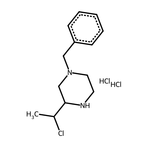 CC(Cl)C1CN(Cc2ccccc2)CCN1.Cl.Cl